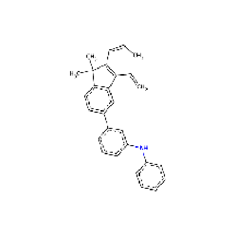 C=CC1=C(/C=C\C)C(C)(C)c2ccc(-c3cccc(Nc4ccccc4)c3)cc21